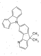 CC1(C)c2ccc(-n3c4ccccc4c4ccccc43)cc2-c2ncccc21